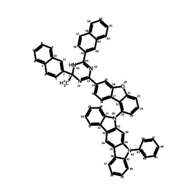 C[C@]1(c2ccc3ccccc3c2)N=C(c2ccc3c(c2)oc2cccc(-n4c5ccccc5c5cc6c7ccccc7n(-c7ccccc7)c6cc54)c23)N=C(c2ccc3ccccc3c2)N1